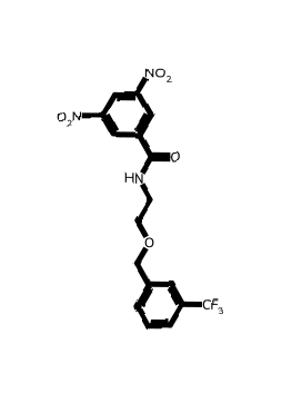 O=C(NCCOCc1cccc(C(F)(F)F)c1)c1cc([N+](=O)[O-])cc([N+](=O)[O-])c1